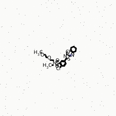 CCN(CCOCCOC)S(=O)(=O)c1cc(-c2nn(C)/c(=N\C3CCCCC3)s2)ccc1Cl